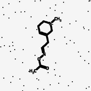 CC(=O)ON=CCC1=CCCN(C)C1